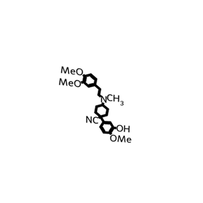 COc1ccc(C2(C#N)CCC(N(C)CCc3ccc(OC)c(OC)c3)CC2)cc1O